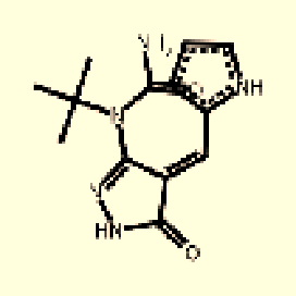 CC(C)(C)N(C(N)=O)C1=NNC(=O)/C1=C/c1ccc[nH]1